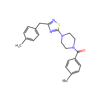 Cc1ccc(Cc2nsc(N3CCN(C(=O)c4ccc(C(C)(C)C)cc4)CC3)n2)cc1